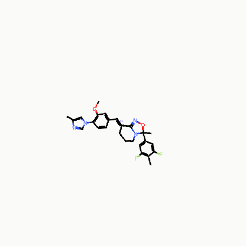 COc1cc(/C=C2\CCCN3C2=NOC3(C)c2cc(F)c(C)c(F)c2)ccc1-n1cnc(C)c1